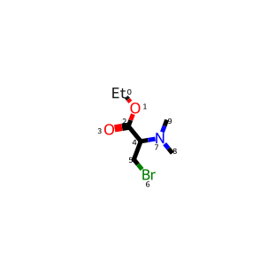 CCOC(=O)C(CBr)N(C)C